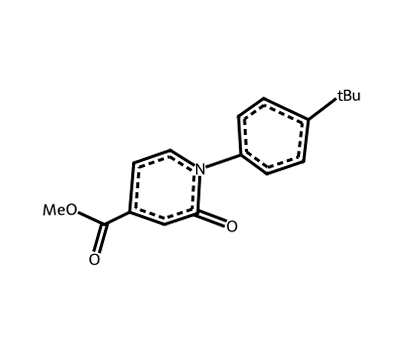 COC(=O)c1ccn(-c2ccc(C(C)(C)C)cc2)c(=O)c1